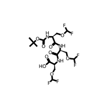 CC(C)(C)OC(=O)N[C@@H](COC(F)F)C(=O)N[C@@H](COC(F)F)C(=O)N[C@@H](COC(F)F)C(=O)O